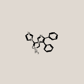 CC[N+]1(C(=O)n2ccnc2)C=NC(c2ccccc2)=C1c1ccccc1